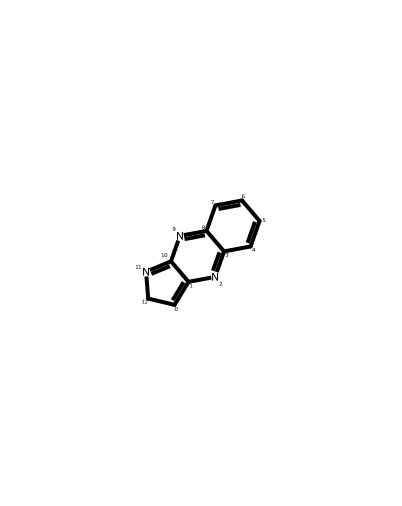 C1=c2nc3ccccc3nc2=NC1